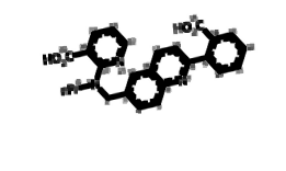 CCCN(Cc1ccc2nc(-c3ccccc3C(=O)O)ccc2c1)c1ncccc1C(=O)O